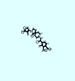 CC1=C(N2CCC3(CCN(CC(Cl)c4ccc5c(c4C)COC5=O)CC3)C2=O)COC1=O